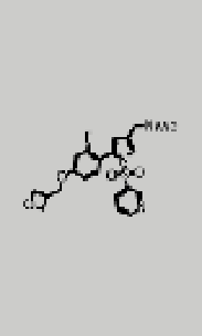 CNCc1cc(-c2ccc(OCC3COC3)cc2F)n(S(=O)(=O)c2cccnc2)c1